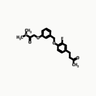 CC(=O)CCc1ccc(OCc2cccc(OCC(=O)N(C)C)c2)c(F)c1